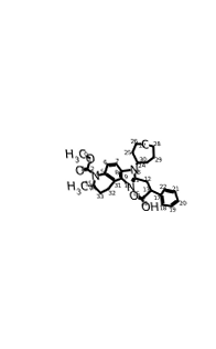 COC(=O)N1c2ccc3c(nc(CC(C(=O)O)c4ccccc4)n3C3CCCCCC3)c2CC[C@@H]1C